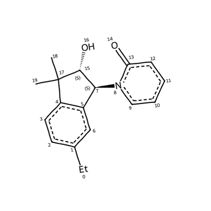 CCc1ccc2c(c1)[C@H](n1ccccc1=O)[C@@H](O)C2(C)C